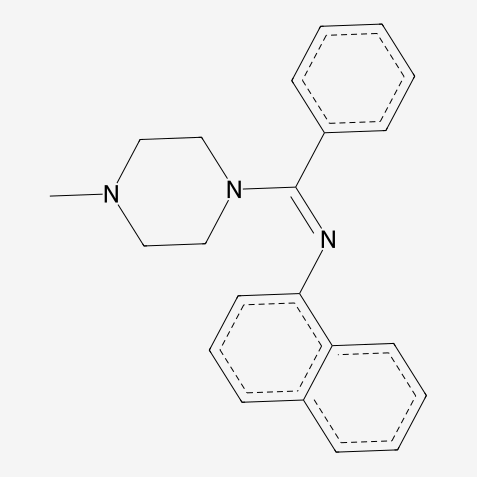 CN1CCN(C(=Nc2cccc3ccccc23)c2ccccc2)CC1